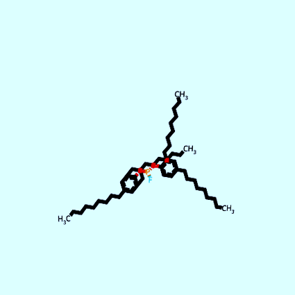 CCCCCCCCCc1ccc(OP(F)Oc2c3cc(CCCCCCCCC)cc2CC(CCCCCCC)C3)c(CCCCCCCCC)c1